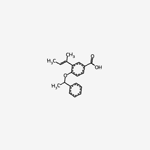 CC=C(C)c1cc(C(=O)O)ccc1OC(C)c1ccccc1